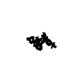 O=S(=O)(c1ccc(C(F)(F)F)cc1)N(CCF)c1nc(N2CCNCC2)nc2ccccc12